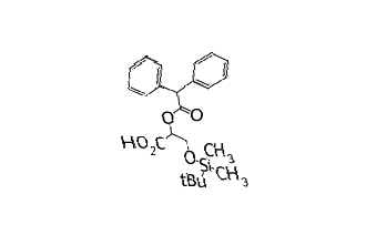 CC(C)(C)[Si](C)(C)OCC(OC(=O)C(c1ccccc1)c1ccccc1)C(=O)O